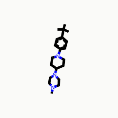 CN1CCN(C2CCN(c3ccc(C(C)(C)C)cc3)CC2)CC1